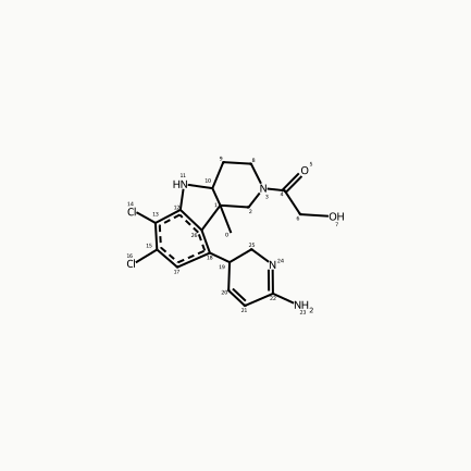 CC12CN(C(=O)CO)CCC1Nc1c(Cl)c(Cl)cc(C3C=CC(N)=NC3)c12